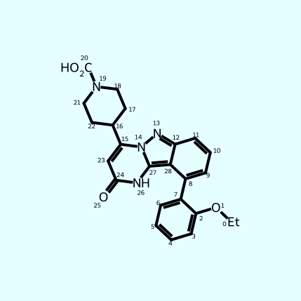 CCOc1ccccc1-c1cccc2nn3c(C4CCN(C(=O)O)CC4)cc(=O)[nH]c3c12